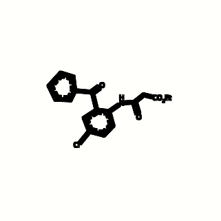 CCOC(=O)CC(=O)Nc1ccc(Cl)cc1C(=O)c1ccccc1